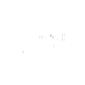 CCCCCCCC(C)CC(C)CC(=O)OC(C)(C)C